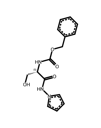 O=C(N[C@@H](CO)C(=O)Nn1cccc1)OCc1ccccc1